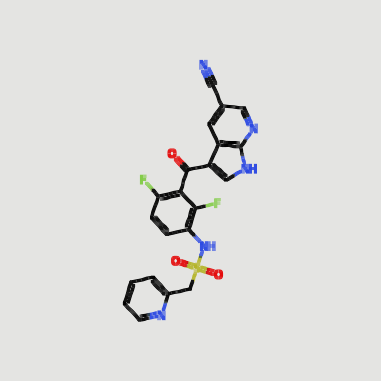 N#Cc1cnc2[nH]cc(C(=O)c3c(F)ccc(NS(=O)(=O)Cc4ccccn4)c3F)c2c1